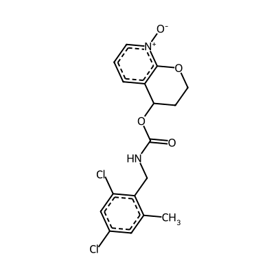 Cc1cc(Cl)cc(Cl)c1CNC(=O)OC1CCOc2c1ccc[n+]2[O-]